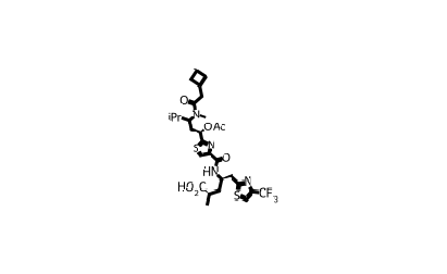 CC(=O)O[C@H](CC(C(C)C)N(C)C(=O)CC1CCC1)c1nc(C(=O)N[C@@H](Cc2nc(C(F)(F)F)cs2)C[C@H](C)C(=O)O)cs1